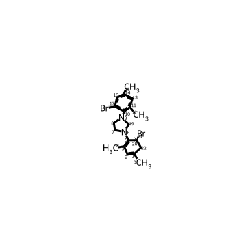 CC1=CC(C)=C(N2CCN(c3c(C)cc(C)cc3Br)C2)[C@@H](Br)C1